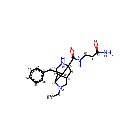 CC(C)CN1CC2CC3(C(=O)NCCC(N)=O)NCC2C1C3Cc1ccccc1